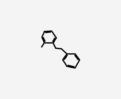 Cc1ccccc1CCc1ccccc1